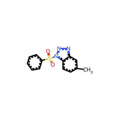 Cc1ccc2c(c1)nnn2S(=O)(=O)c1ccccc1